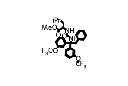 COC(=O)[C@@H](CC(C)C)NC(=O)NC(Cc1ccccc1)(c1cccc(OC(F)(F)F)c1)c1cccc(OC(F)(F)F)c1